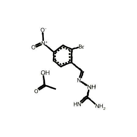 CC(=O)O.N=C(N)NN=Cc1ccc([N+](=O)[O-])cc1Br